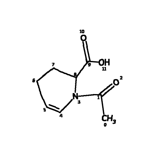 CC(=O)N1C=CCCC1C(=O)O